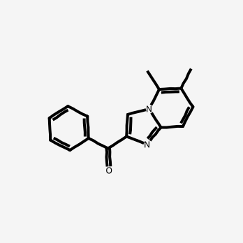 Cc1ccc2nc(C(=O)c3ccccc3)cn2c1C